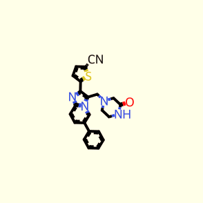 N#Cc1ccc(-c2nc3ccc(-c4ccccc4)cn3c2CN2CCNC(=O)C2)s1